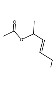 CC/C=C/C(C)OC(C)=O